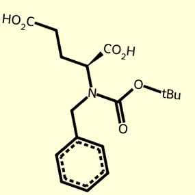 CC(C)(C)OC(=O)N(Cc1ccccc1)[C@@H](CCC(=O)O)C(=O)O